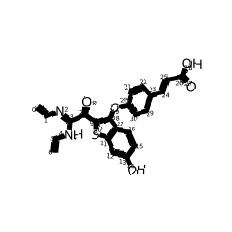 C=C/N=C(\NC=C)C(=O)c1sc2cc(O)ccc2c1Oc1ccc(/C=C/C(=O)O)cc1